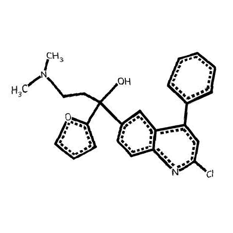 CN(C)CCC(O)(c1ccc2nc(Cl)cc(-c3ccccc3)c2c1)c1ccco1